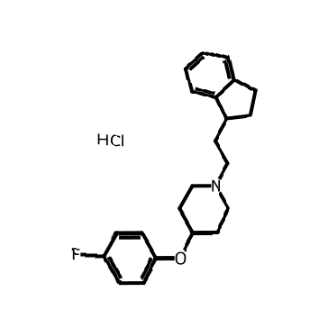 Cl.Fc1ccc(OC2CCN(CCC3CCc4ccccc43)CC2)cc1